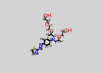 Cc1cc(N(CC(C)OCCO)CC(C)OCCOCCO)ccc1/N=N/c1nccs1